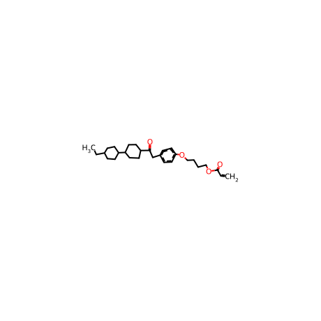 C=CC(=O)OCCCCOc1ccc(CC(=O)C2CCC(C3CCC(CC)CC3)CC2)cc1